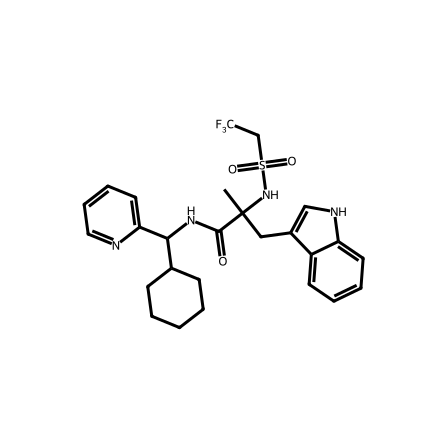 CC(Cc1c[nH]c2ccccc12)(NS(=O)(=O)CC(F)(F)F)C(=O)NC(c1ccccn1)C1CCCCC1